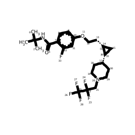 CC(C)(C)NC(=O)c1ccc(OCC[C@@H]2C[C@@H]2C2CCN(CC(F)(F)C(F)(F)F)CC2)cc1F